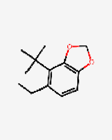 CCc1ccc2c(c1C(C)(C)C)OCO2